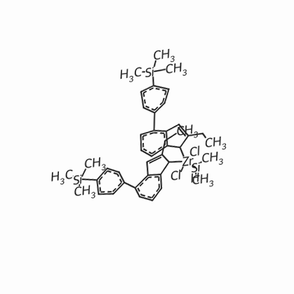 CCC1=Cc2c(-c3ccc([Si](C)(C)C)cc3)cccc2[CH]1[Zr]([Cl])([Cl])([CH]1C(CC)=Cc2c(-c3ccc([Si](C)(C)C)cc3)cccc21)[SiH](C)C